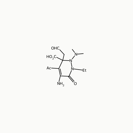 CCN1C(=O)C(N)=C(C(C)=O)C(CC=O)(C(=O)O)N1N(C)C